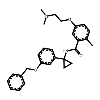 Cc1ccc(OCCN(C)C)cc1C(=O)NC1(c2cccc(OCc3ccccc3)c2)CC1